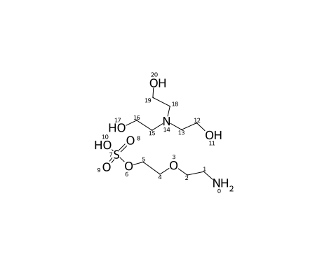 NCCOCCOS(=O)(=O)O.OCCN(CCO)CCO